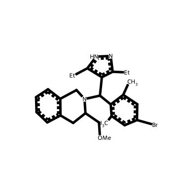 CCc1n[nH]c(CC)c1C(c1c(C)cc(Br)cc1C)N1Cc2ccccc2CC1COC